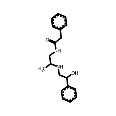 CC(CNC(=O)Cc1ccccc1)NCC(O)c1ccccc1